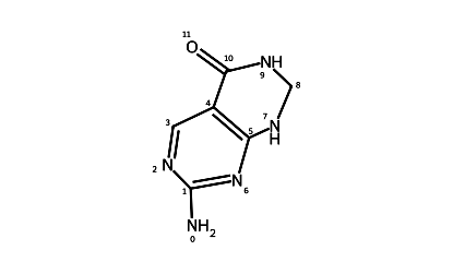 Nc1ncc2c(n1)NCNC2=O